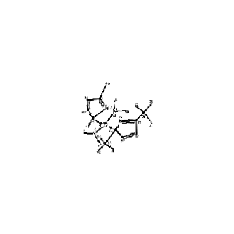 CC1=N[C](C)([Zr]([N](C)C)([N](C)C)[C]2(C(C)(C)C)C=CC(C(C)(C)C)=N2)C=C1